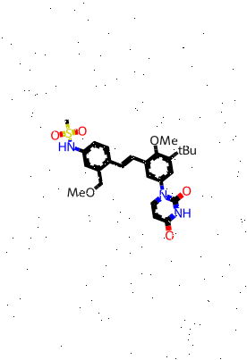 COCc1cc(NS(C)(=O)=O)ccc1C=Cc1cc(-n2ccc(=O)[nH]c2=O)cc(C(C)(C)C)c1OC